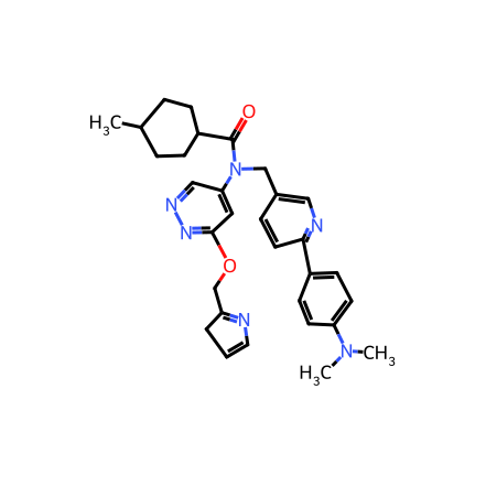 CC1CCC(C(=O)N(Cc2ccc(-c3ccc(N(C)C)cc3)nc2)c2cnnc(OCC3=NC=CC3)c2)CC1